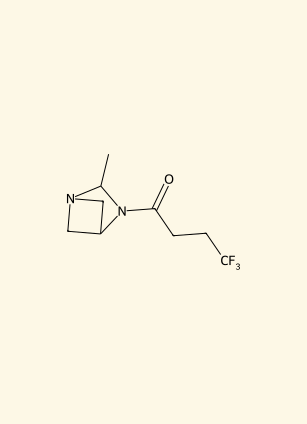 CC1N2CC(C2)N1C(=O)CCC(F)(F)F